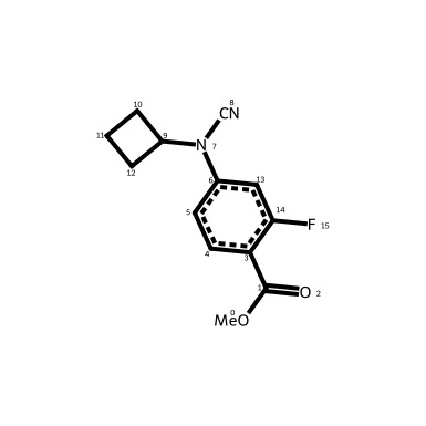 COC(=O)c1ccc(N(C#N)C2CCC2)cc1F